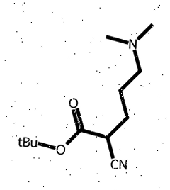 CN(C)CCCC(C#N)C(=O)OC(C)(C)C